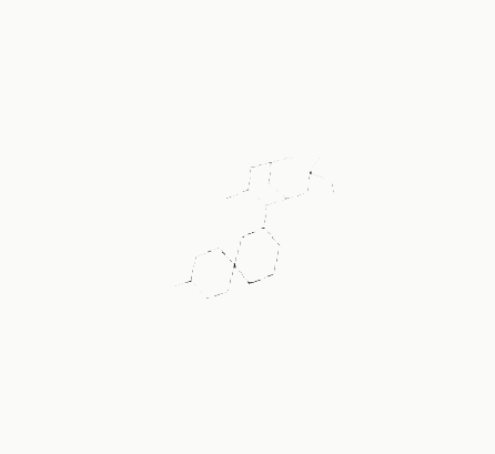 CC1CCC2(CCCC(C3C(C)CC4CC3CC(C)(CI)C4)C2)CC1